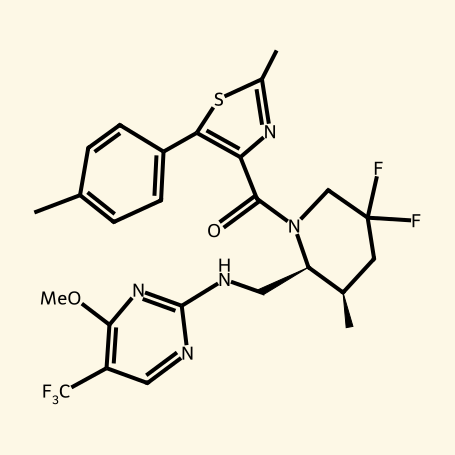 COc1nc(NC[C@@H]2[C@H](C)CC(F)(F)CN2C(=O)c2nc(C)sc2-c2ccc(C)cc2)ncc1C(F)(F)F